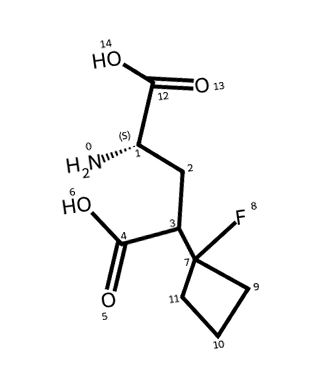 N[C@@H](CC(C(=O)O)C1(F)CCC1)C(=O)O